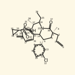 C=CC[C@@]1(C)C[C@H](c2cccc(Cl)c2)C(C(/C=C\C(=C)Cl)=C/C)N(C(CC)[C@@H](C)NS(=O)(=O)C2CC2)C1=O